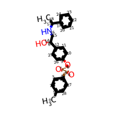 Cc1ccc(S(=O)(=O)Oc2ccc([C@H](O)CNC(C)c3ccccc3)cc2)cc1